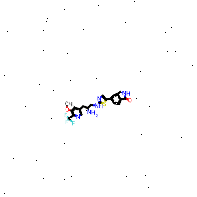 COc1cc(C[C@@H](N)CNc2ncc(-c3ccc4c(c3)CNC4=O)s2)cnc1C(F)(F)F